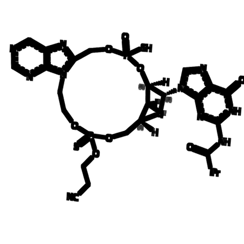 CC(C)C(=O)Nc1nc2c(ncn2[C@@H]2O[C@@H]3COP(=S)(OCCC#N)OCCn4c(nc5cncnc54)COP(=O)(S)O[C@@H]2C3(F)F)c(=O)[nH]1